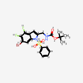 CC(C)(C)OC(=O)NCc1cc2c(F)c(F)c(Br)cc2n1S(=O)(=O)c1ccccc1